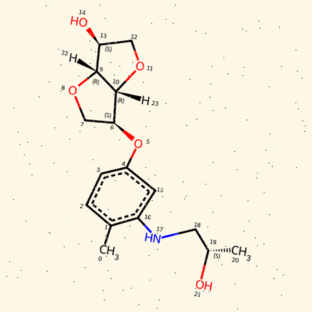 Cc1ccc(O[C@H]2CO[C@H]3[C@@H]2OC[C@@H]3O)cc1NC[C@H](C)O